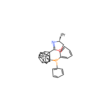 CC(C)[C@H]1COC([C]23[CH]4[CH]5[CH]6[C@]2(P(c2ccccc2)c2ccccc2)[Fe]54632789[CH]3[CH]2[CH]7[CH]8[CH]39)=N1